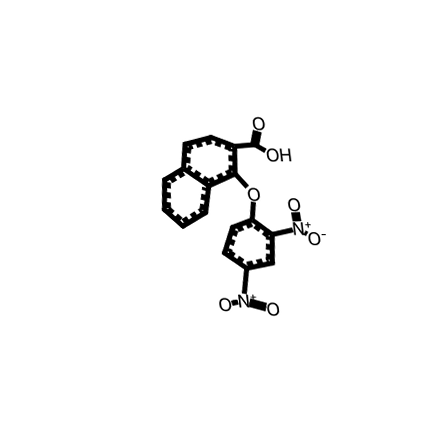 O=C(O)c1ccc2ccccc2c1Oc1ccc([N+](=O)[O-])cc1[N+](=O)[O-]